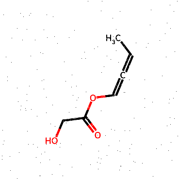 CC=C=COC(=O)CO